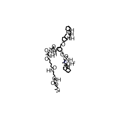 CO[C@H](C/C(N)=C(\C)[C@H](O)N1CCC2C=CCC[C@H]21)OC[C@H]1CC(CO[C@H]2CCC3=C(C2)NC[C@@H]2C[C@@H]4C=CCCC4N2C3)=C[C@@H](NC(=O)[C@H](C)NC(=O)[C@H](C)NC(=O)CCCCC(=O)NCCCONC(=O)OCC[Si](C)(C)C)C1